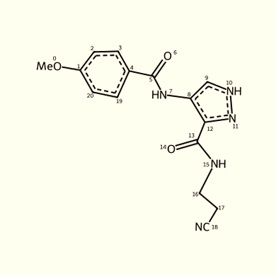 COc1ccc(C(=O)Nc2c[nH]nc2C(=O)NCCC#N)cc1